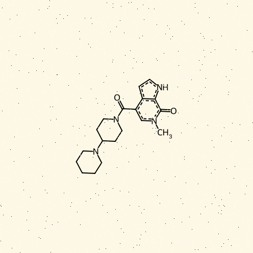 Cn1cc(C(=O)N2CCC(N3CCCCC3)CC2)c2cc[nH]c2c1=O